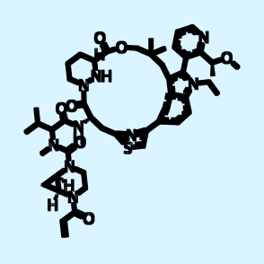 C=CC(=O)N1CCN(C(=O)N(C)C(C(=O)N[C@H]2Cc3nc(cs3)-c3ccc4c(c3)c(c(-c3cccnc3[C@H](C)OC)n4CC)CC(C)(C)COC(=O)[C@@H]3CCCN(N3)C2=O)C(C)C)[C@@H]2C[C@@H]21